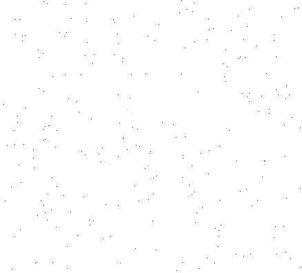 CC([S])c1c[nH]c2ccccc12